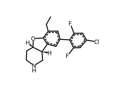 CCc1cc(-c2c(F)cc(Cl)cc2F)cc2c1O[C@H]1CCNC[C@@H]21